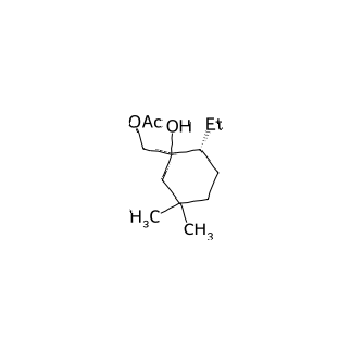 CC[C@@H]1CCC(C)(C)CC1(O)COC(C)=O